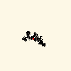 CC[C@H](C)[C@H](NC(=O)C1(CC)CC(NC)C1)C(=O)N(C)[C@H](C[C@@H](OC(C)=O)c1nc(C(=O)N[C@@H](Cc2ccccc2)C[C@H](C)C(=O)OC)cs1)C(C)C